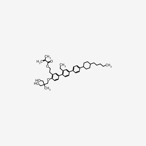 C=C(C)C(=O)OCCc1cc(-c2ccc(-c3ccc(C4CCC(CCCCC)CC4)cc3)cc2CC)ccc1OCC(C)(CO)CO